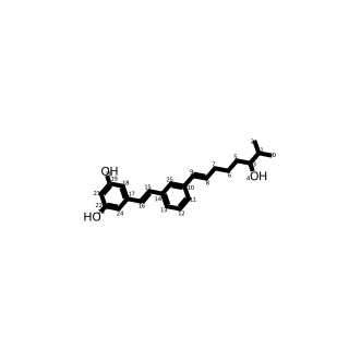 CC(C)C(O)CCC/C=C/c1cccc(/C=C/c2cc(O)cc(O)c2)c1